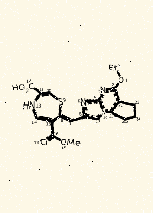 CCOc1nc2nc(C=C3SC=C(C(=O)O)NC=C3C(=O)OC)cn2c2c1CCC2